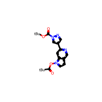 CC(C)(C)OC(=O)n1cc(-c2cc3c(ccn3OC(=O)C(C)(C)C)cn2)cn1